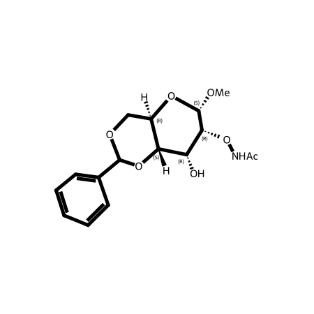 CO[C@H]1O[C@@H]2COC(c3ccccc3)O[C@H]2[C@@H](O)[C@H]1ONC(C)=O